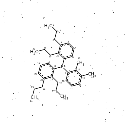 CCCc1cccc(P(c2cccc(C)c2C)c2cccc(CCC)c2CCC)c1CCC